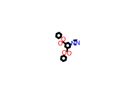 O=C(Oc1ccccc1)c1cc(C(=O)Oc2ccccc2)cc(-n2ccnc2)c1